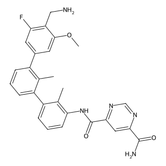 COc1cc(-c2cccc(-c3cccc(NC(=O)c4cc(C(N)=O)ncn4)c3C)c2C)cc(F)c1CN